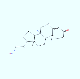 CC12CCC(=O)C=C1CCC1(N)C2CCC2(C)C(CCN=O)CCC21